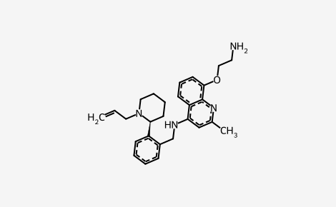 C=CCN1CCCC[C@H]1c1ccccc1CNc1cc(C)nc2c(OCCN)cccc12